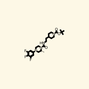 C[C@@H]1CN(c2cc(F)c(F)c(F)c2)CCN1C(=O)NCCC1CCN(C(=O)OC(C)(C)C)CC1